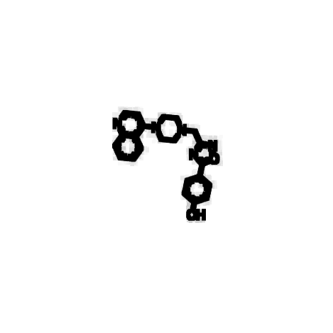 Oc1ccc(-c2nc(CN3CCN(c4ccnc5ccccc45)CC3)no2)cc1